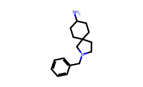 NC1CCC2(CC1)CCN(Cc1ccccc1)C2